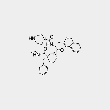 CCNC(=O)[C@]1(Cc2ccccc2)CCCN(C(=O)[C@@H](Cc2ccc3ccccc3c2)NC(=O)N2CCNCC2)C1